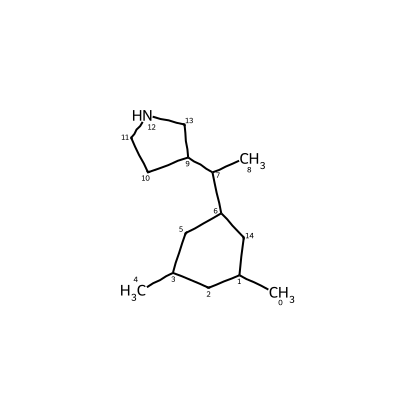 CC1CC(C)CC(C(C)C2CCNC2)C1